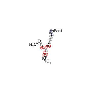 C=CCC(CC)CCCC(=O)OCC(COC(=O)CCCCCCC/C=C\C/C=C\CCCCC)COC(=O)Oc1ccc([N+](=O)[O-])cc1